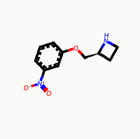 O=[N+]([O-])c1cccc(OC[C@@H]2CCN2)c1